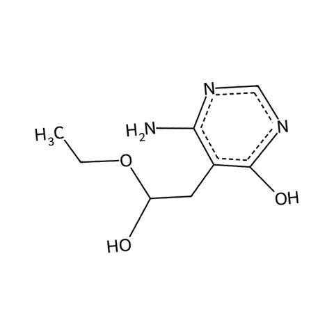 CCOC(O)Cc1c(N)ncnc1O